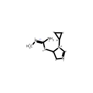 C/N=C(/N)SC1CN=CN1C1CC1